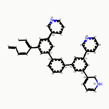 C=C/C=C\C(=C/C)c1cc(-c2cccnc2)cc(-c2cccc(-c3cc(C4=CC=CNC4)cc(-c4cccnc4)c3)c2)c1